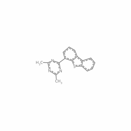 Cc1nc(C)nc(-c2cccc3c2sc2ccccc23)n1